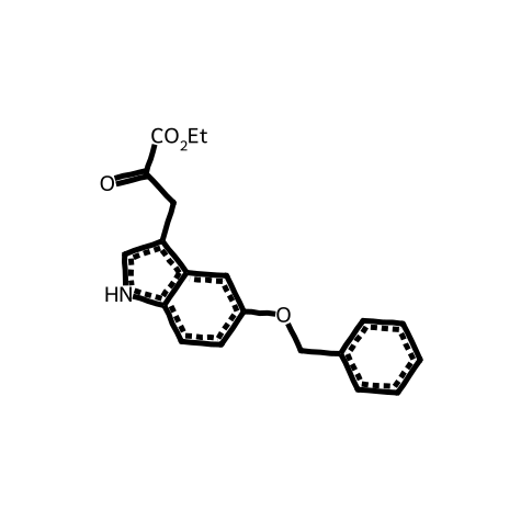 CCOC(=O)C(=O)Cc1c[nH]c2ccc(OCc3ccccc3)cc12